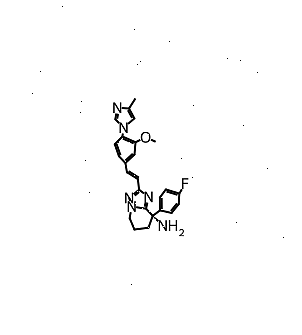 COc1cc(/C=C/c2nc3n(n2)CCC[C@@]3(N)c2ccc(F)cc2)ccc1-n1cnc(C)c1